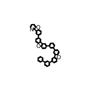 c1ccc(-c2cccc(-c3ccc4oc5ccc(-c6cccc(-c7ccc8oc9ccc(-c%10ccc%11oc%12cccnc%12c%11c%10)cc9c8c7)c6)cc5c4c3)c2)cc1